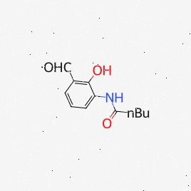 CCCCC(=O)Nc1cccc([C]=O)c1O